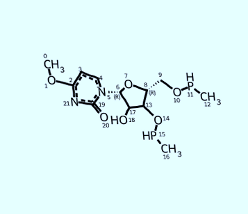 COc1ccn([C@@H]2O[C@H](COPC)C(OPC)C2O)c(=O)n1